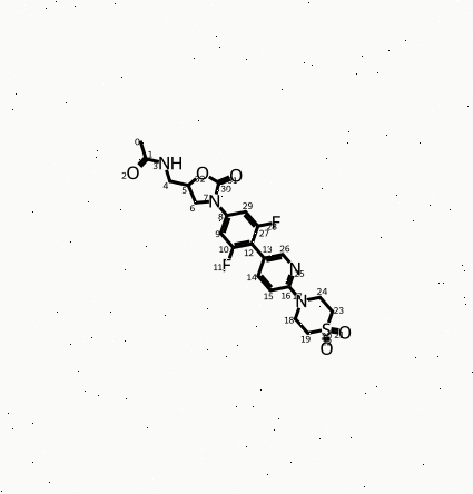 CC(=O)NCC1CN(c2cc(F)c(-c3ccc(N4CCS(=O)(=O)CC4)nc3)c(F)c2)C(=O)O1